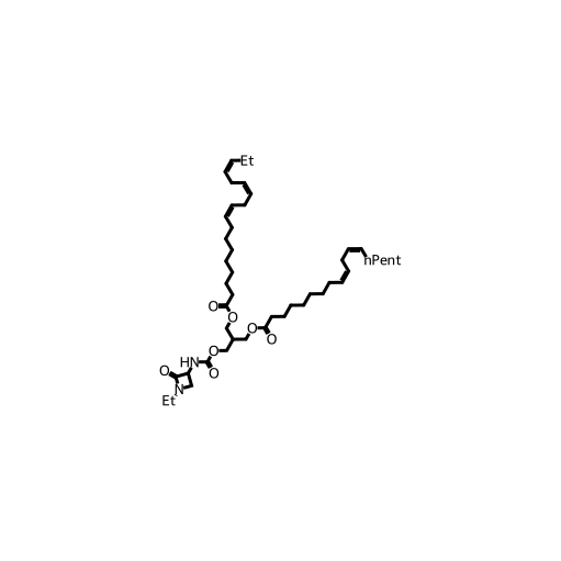 CC/C=C\C/C=C\C/C=C\CCCCCCCC(=O)OCC(COC(=O)CCCCCCC/C=C\C/C=C\CCCCC)COC(=O)NC1CN(CC)C1=O